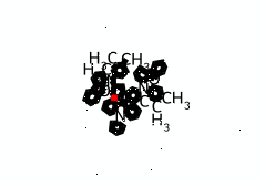 Cc1ccc(N(c2ccc(C3(c4ccc(N(c5ccc(C)c(C)c5C)c5cccc6c5oc5ccccc56)cc4)c4ccccc4N(c4ccccc4)c4ccccc43)cc2)c2cccc3c2oc2ccccc23)c(C)c1C